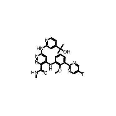 CNC(=O)c1nnc(Nc2cc(C(C)(C)O)ccn2)cc1Nc1cccc(-c2ncc(F)cn2)c1OC